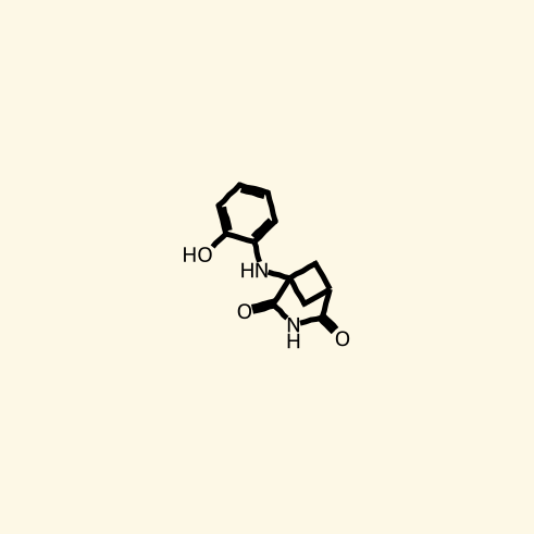 O=C1NC(=O)C2(Nc3ccccc3O)CC1C2